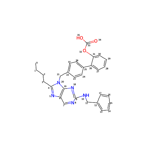 CCCCc1nc2cnc(NCc3ccccc3)nc2n1Cc1ccc(-c2ccccc2OC(=O)O)cc1